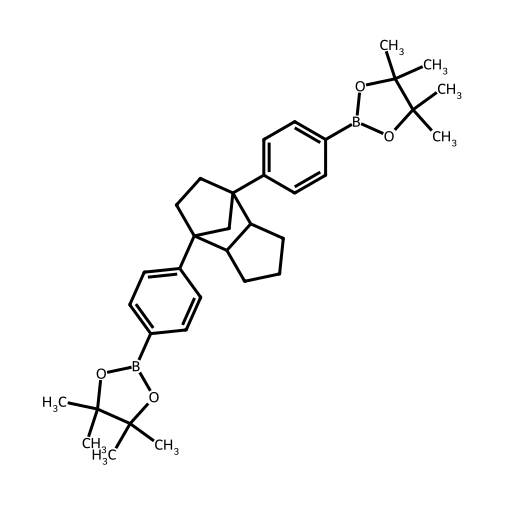 CC1(C)OB(c2ccc(C34CCC(c5ccc(B6OC(C)(C)C(C)(C)O6)cc5)(C3)C3CCCC34)cc2)OC1(C)C